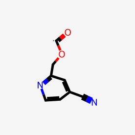 N#Cc1ccnc(CO[C]=O)c1